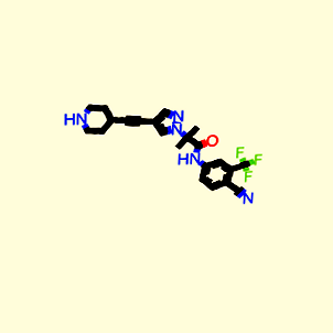 CC(C)(C(=O)Nc1ccc(C#N)c(C(F)(F)F)c1)n1cc(C#CC2CCNCC2)cn1